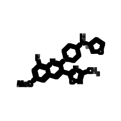 COc1cc(F)c2nc(N3CCC(N[C@H]4CCOC4)CC3)c(-c3nc(C)no3)cc2c1